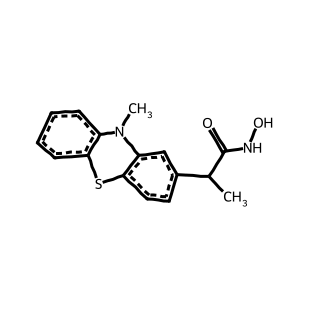 CC(C(=O)NO)c1ccc2c(c1)N(C)c1ccccc1S2